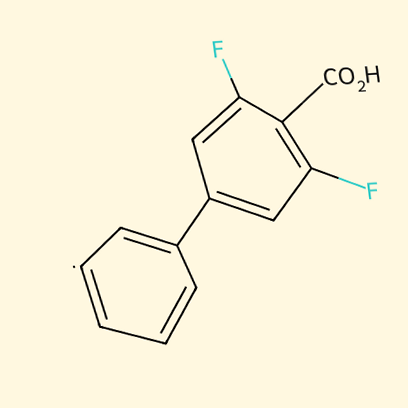 O=C(O)c1c(F)cc(-c2c[c]ccc2)cc1F